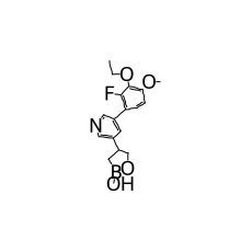 CCOc1c(OC)ccc(-c2cncc(C3COB(O)C3)c2)c1F